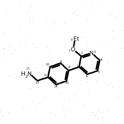 CCOc1ncccc1-c1ccc(CN)cc1